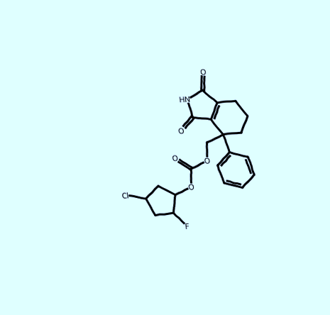 O=C(OCC1(c2ccccc2)CCCC2=C1C(=O)NC2=O)OC1CC(Cl)CC1F